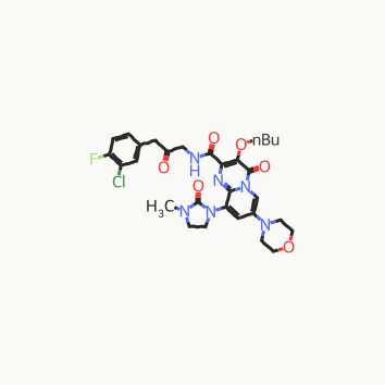 CCCCOc1c(C(=O)NCC(=O)Cc2ccc(F)c(Cl)c2)nc2c(N3CCN(C)C3=O)cc(N3CCOCC3)cn2c1=O